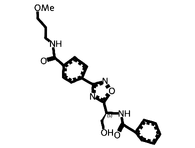 COCCCNC(=O)c1ccc(-c2noc([C@H](CO)NC(=O)c3ccccc3)n2)cc1